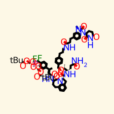 C/C(=C\C(=O)N[C@H]1CCc2cccc3c2N(C1=O)[C@H](C(=O)N[C@@H](CCC(N)=O)[C@@H](C)OCc1ccc(CCCNC(=O)CCc2ccc4c(c2)n(C)c(=O)n4C2CCC(=O)NC2=O)cc1)C3)c1ccc(C(F)(F)P(=O)(OCOC(=O)C(C)(C)C)OCOC(=O)C(C)(C)C)cc1